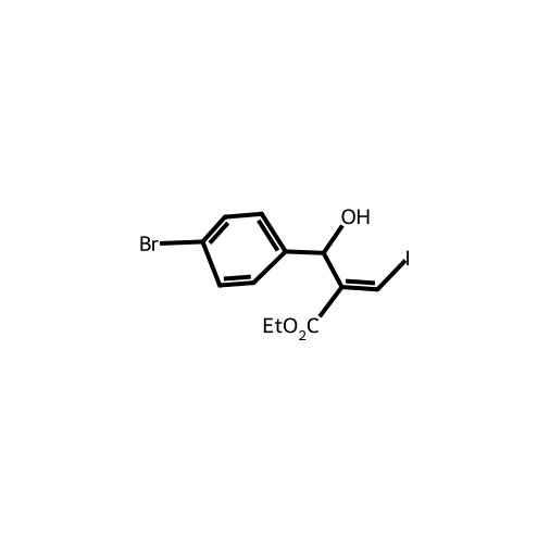 CCOC(=O)/C(=C/I)C(O)c1ccc(Br)cc1